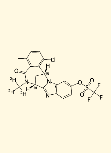 [2H]C([2H])([2H])N1C(=O)c2c(C)ccc(Cl)c2[C@H]2C[C@@H]1c1nc3ccc(OS(=O)(=O)C(F)(F)F)cc3n12